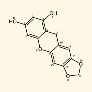 Oc1cc(O)c2c(c1)Oc1cc3c(cc1C2)OCO3